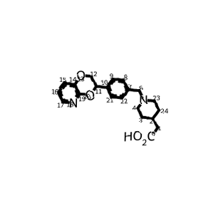 O=C(O)CC1CCN(Cc2ccc(C3COc4cccnc4O3)cc2)CC1